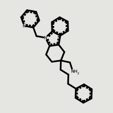 NCC1(CCCc2ccccc2)CCc2c(c3ccccc3n2Cc2ccccn2)C1